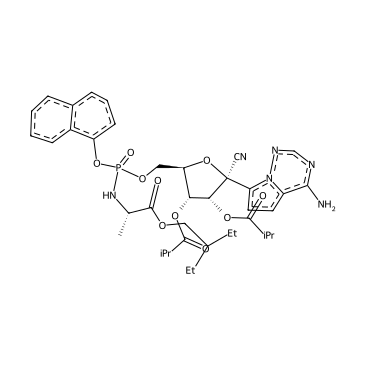 CCC(CC)COC(=O)[C@H](C)NP(=O)(OC[C@H]1O[C@@](C#N)(c2ccc3c(N)ncnn23)[C@H](OC(=O)C(C)C)[C@@H]1OC(=O)C(C)C)Oc1cccc2ccccc12